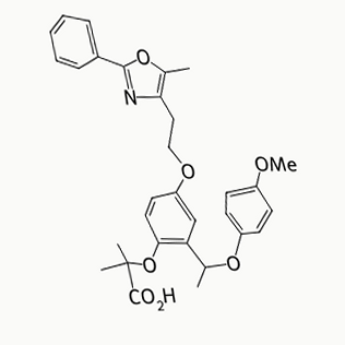 COc1ccc(OC(C)c2cc(OCCc3nc(-c4ccccc4)oc3C)ccc2OC(C)(C)C(=O)O)cc1